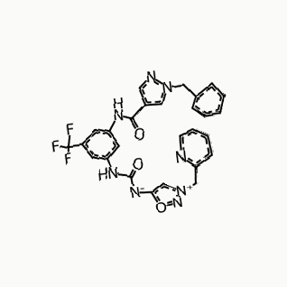 O=C([N-]c1c[n+](Cc2ccccn2)no1)Nc1cc(NC(=O)c2cnn(Cc3ccccc3)c2)cc(C(F)(F)F)c1